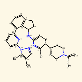 C=C(C(C)C)N1CC=C(C2CC=C(NC3CCc4cccc(-c5cccc(-n6ncc(C)c6CC)n5)c43)N=C2CC)CC1